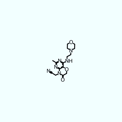 Cc1nc(NCCN2CCOCC2)c2c(n1)N(CC#N)C(=O)CO2